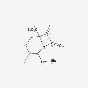 CCOC(=O)C12CCC(=O)C(OC(C)(C)C)C1C(=O)C2=O